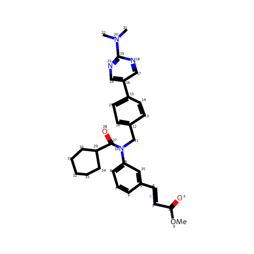 COC(=O)/C=C/c1cccc(N(Cc2ccc(-c3cnc(N(C)C)nc3)cc2)C(=O)C2CCCCC2)c1